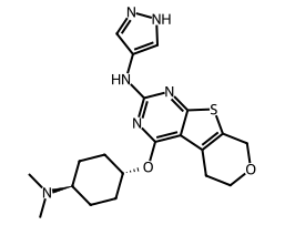 CN(C)[C@H]1CC[C@H](Oc2nc(Nc3cn[nH]c3)nc3sc4c(c23)CCOC4)CC1